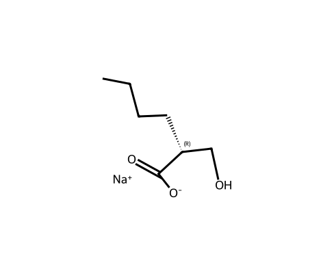 CCCC[C@H](CO)C(=O)[O-].[Na+]